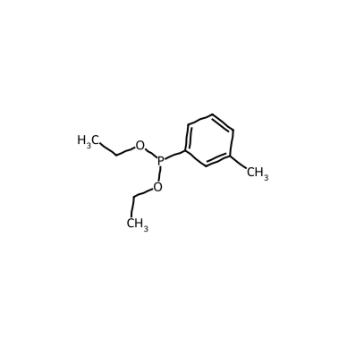 CCOP(OCC)c1cccc(C)c1